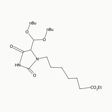 CCCCOC(OCCCC)C1C(=O)NC(=O)N1CCCCCCC(=O)OCC